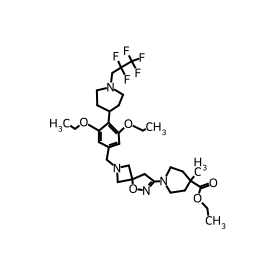 CCOC(=O)C1(C)CCN(C2=NOC3(C2)CN(Cc2cc(OCC)c(C4CCN(CC(F)(F)C(F)(F)F)CC4)c(OCC)c2)C3)CC1